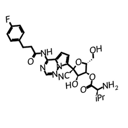 CC(C)[C@H](N)C(=O)O[C@H]1[C@@H](O)[C@](C#N)(c2ccc3c(NC(=O)CCc4ccc(F)cc4)ncnn23)O[C@@H]1CO